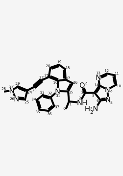 CC(NC(=O)c1c(N)nn2cccnc12)c1cc2cccc(C#Cc3cnn(C)c3)c2n1-c1ccccc1